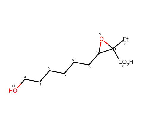 CCC1(C(=O)O)OC1CCCCCCO